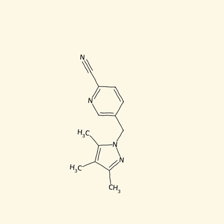 Cc1nn(Cc2ccc(C#N)nc2)c(C)c1C